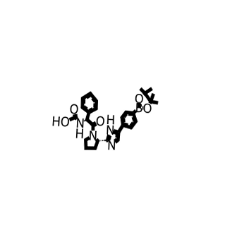 CC1(C)OB(c2ccc(-c3cnc([C@@H]4CCCN4C(=O)[C@H](NC(=O)O)c4ccccc4)[nH]3)cc2)OC1(C)C